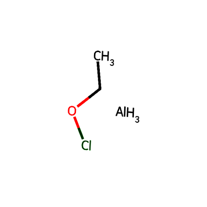 CCOCl.[AlH3]